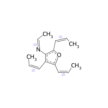 C/C=C\c1oc(/C=C\C)c(/N=C\C)c1/C=C\C